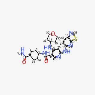 CNC(=O)C1CCC(NC(=O)c2cnc(Nc3ccc4ncsc4n3)cc2NC2CCOCC2)CC1